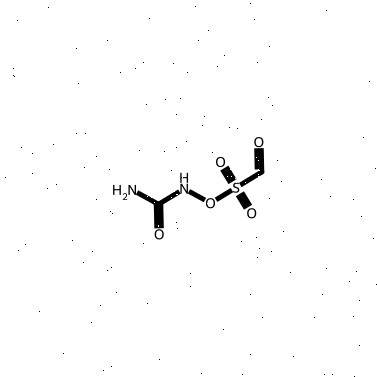 NC(=O)NOS(=O)(=O)C=O